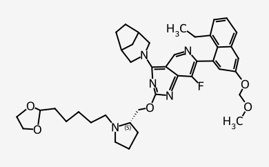 CCc1cccc2cc(OCOC)cc(-c3ncc4c(N5CC6CCC(C6)C5)nc(OC[C@@H]5CCCN5CCCCCC5OCCO5)nc4c3F)c12